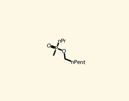 CCCCCCOP(C)(=O)CCC